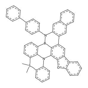 CS1(C)c2ccccc2N2c3c(cccc31)B1c3c(cc4c(oc5ccccc54)c32)-c2cc3ccccc3cc2N1c1ccc(-c2ccccc2)cc1